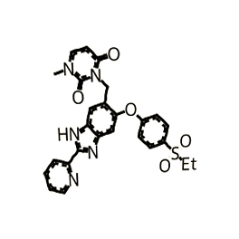 CCS(=O)(=O)c1ccc(Oc2cc3nc(-c4ccccn4)[nH]c3cc2Cn2c(=O)ccn(C)c2=O)cc1